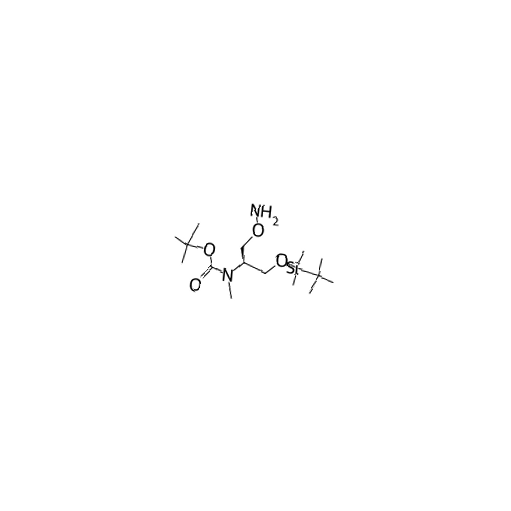 CN(C(=O)OC(C)(C)C)[C@@H](CON)CO[Si](C)(C)C(C)(C)C